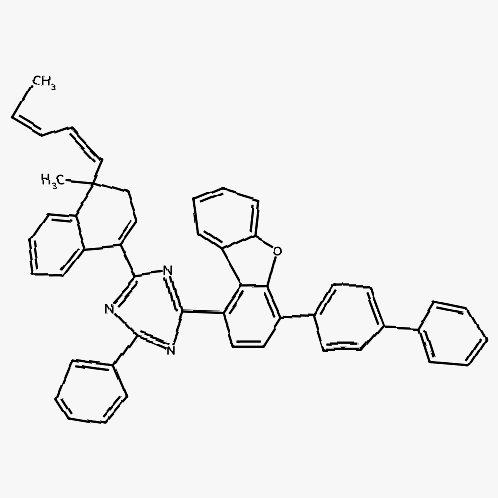 C/C=C\C=C/C1(C)CC=C(c2nc(-c3ccccc3)nc(-c3ccc(-c4ccc(-c5ccccc5)cc4)c4oc5ccccc5c34)n2)c2ccccc21